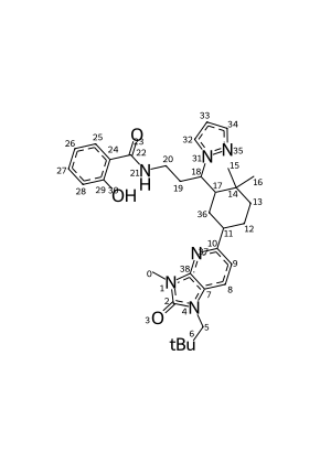 Cn1c(=O)n(CC(C)(C)C)c2ccc(C3CCC(C)(C)C(C(CCNC(=O)c4ccccc4O)n4cccn4)C3)nc21